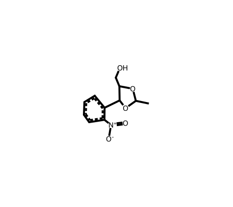 CC1OC(CO)C(c2ccccc2[N+](=O)[O-])O1